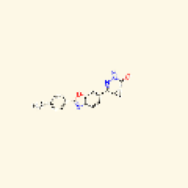 Cc1ccc(-c2nc3ccc(C4=NNC(=O)C5CC45)cc3o2)cc1